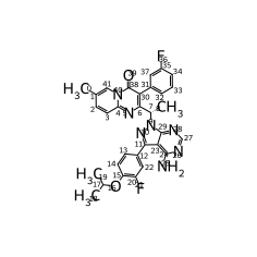 Cc1ccc2nc([C@H](C)n3nc(-c4ccc(OC(C)C)c(F)c4)c4c(N)ncnc43)c(-c3cccc(F)c3)c(=O)n2c1